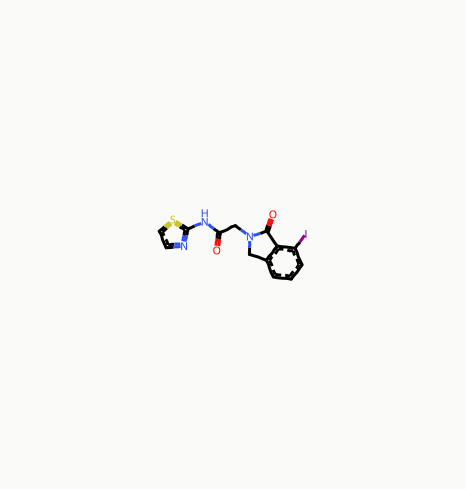 O=C(CN1Cc2cccc(I)c2C1=O)Nc1nccs1